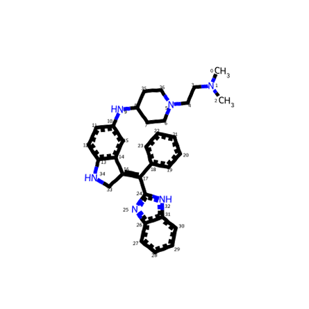 CN(C)CCN1CCC(Nc2ccc3c(c2)/C(=C(\c2ccccc2)c2nc4ccccc4[nH]2)CN3)CC1